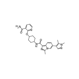 Cc1c(-c2ccc3c(C(=O)NC4CCC(Oc5ncccc5C(N)=O)CC4)nc(C)n3c2)cnn1C